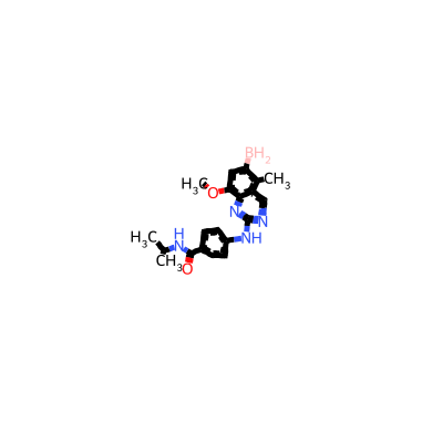 Bc1cc(OC)c2nc(Nc3ccc(C(=O)NC(C)C)cc3)ncc2c1C